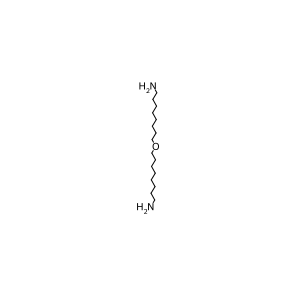 NCCCCCCCCOCCCCCCCCN